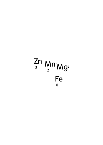 [Fe].[Mg].[Mn].[Zn]